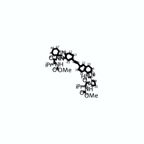 COC(=O)N[C@H](C(=O)NC1(c2nc3ccc(C#Cc4ccc5c(c4)CCc4nc([C@@H]6CCCN6C(=O)[C@@H](NC(=O)OC)C(C)C)[nH]c4-5)cc3[nH]2)CCCCC1)C(C)C